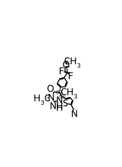 COCC(F)(F)c1ccc([C@@H]2C(=O)N(C)C(=N)N[C@]2(C)c2ccc(C#N)s2)cc1